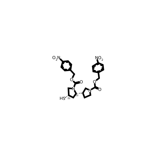 O=C(OCc1ccc([N+](=O)[O-])cc1)N1CCC([C@@H]2C[C@H](S)CN2C(=O)OCc2ccc([N+](=O)[O-])cc2)C1